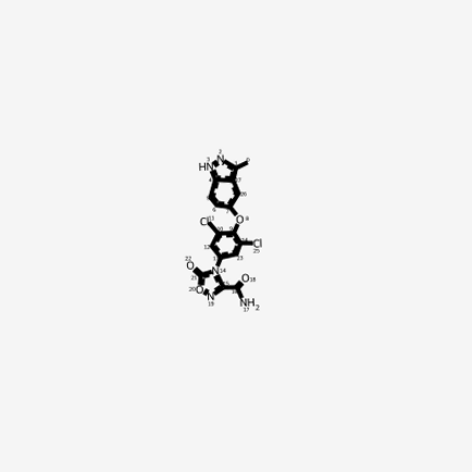 Cc1n[nH]c2ccc(Oc3c(Cl)cc(-n4c(C(N)=O)noc4=O)cc3Cl)cc12